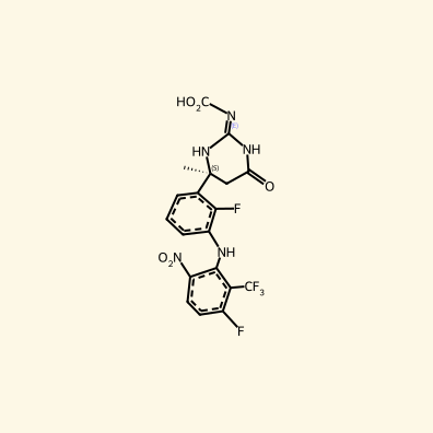 C[C@@]1(c2cccc(Nc3c([N+](=O)[O-])ccc(F)c3C(F)(F)F)c2F)CC(=O)N/C(=N/C(=O)O)N1